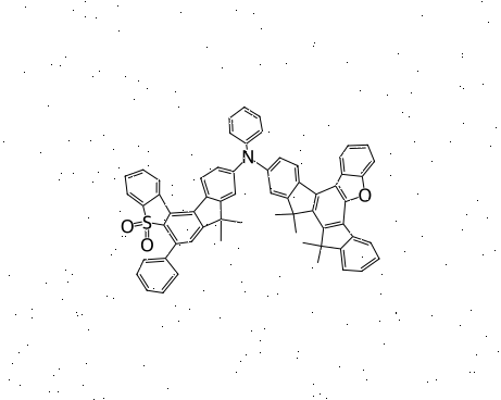 CC1(C)c2cc(N(c3ccccc3)c3ccc4c(c3)C(C)(C)c3c5c(c6oc7ccccc7c6c3-4)-c3ccccc3C5(C)C)ccc2-c2c1cc(-c1ccccc1)c1c2-c2ccccc2S1(=O)=O